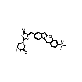 CS(=O)(=O)c1ccc(Cn2ncc3cc(/C=C4\SC(N5CCNC(=O)C5)=NC4=O)ccc32)c(Cl)c1